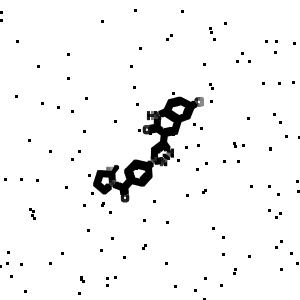 C[C@@H]1CCCN1C(=O)c1ccc(-n2cc(-c3cc4cc(Cl)ccc4[nH]c3=O)nn2)cc1